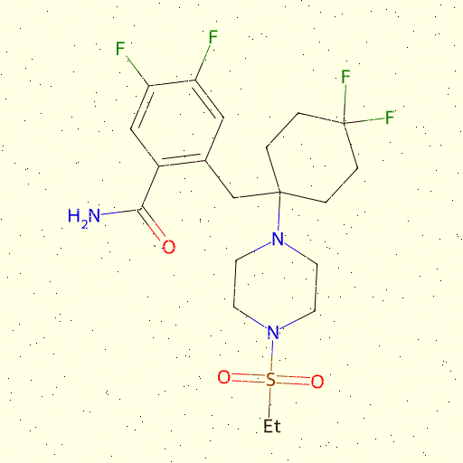 CCS(=O)(=O)N1CCN(C2(Cc3cc(F)c(F)cc3C(N)=O)CCC(F)(F)CC2)CC1